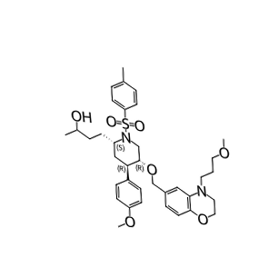 COCCCN1CCOc2ccc(CO[C@H]3CN(S(=O)(=O)c4ccc(C)cc4)[C@@H](CCC(C)O)C[C@@H]3c3ccc(OC)cc3)cc21